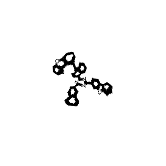 C1=CC2Oc3ccccc3C2C(c2ccc(-c3nc(-c4ccc5ccccc5c4)nc(-c4ccc5c(c4)oc4ccccc45)n3)c3ccccc23)=C1